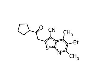 CCc1c(C)nc2sc(CC(=O)C3CCCC3)c(C#N)c2c1C